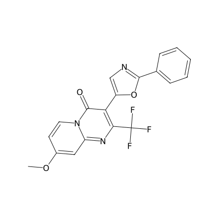 COc1ccn2c(=O)c(-c3cnc(-c4ccccc4)o3)c(C(F)(F)F)nc2c1